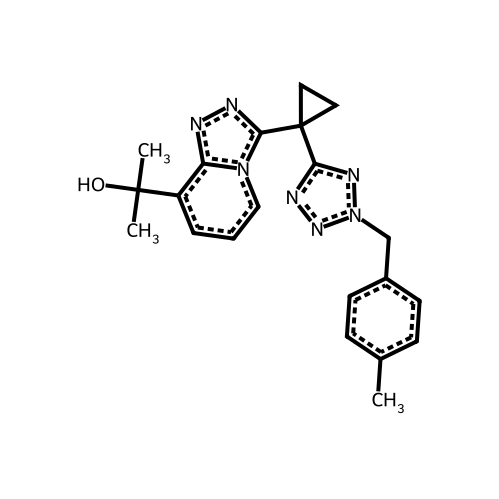 Cc1ccc(Cn2nnc(C3(c4nnc5c(C(C)(C)O)cccn45)CC3)n2)cc1